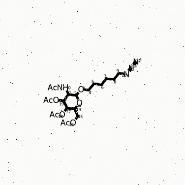 CC(=O)NC1C(OCCCCCCN=[N+]=[N-])OC(COC(C)=O)C(OC(C)=O)C1OC(C)=O